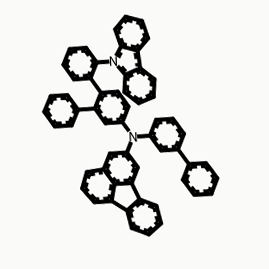 c1ccc(-c2cccc(N(c3ccc(-c4ccccc4-n4c5ccccc5c5ccccc54)c(-c4ccccc4)c3)c3cc4c5c(cccc5c3)-c3ccccc3-4)c2)cc1